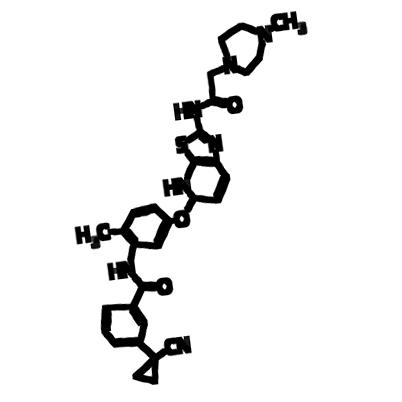 Cc1ccc(OC2C=Cc3nc(NC(=O)CN4CCN(C)CC4)sc3N2)cc1NC(=O)c1cccc(C2(C#N)CC2)c1